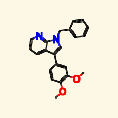 COc1ccc(-c2cn(Cc3ccccc3)c3ncccc23)cc1OC